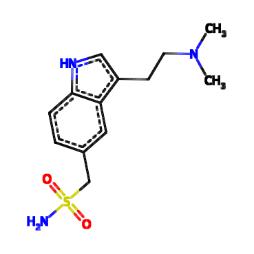 CN(C)CCc1c[nH]c2ccc(CS(N)(=O)=O)cc12